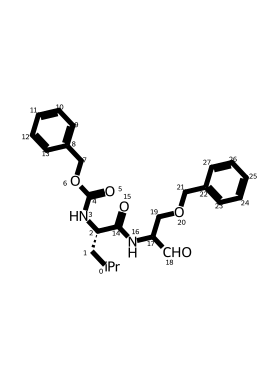 CC(C)C[C@H](NC(=O)OCc1ccccc1)C(=O)NC(C=O)COCc1ccccc1